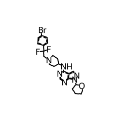 FC(F)(CN1CCC(Nc2ncnc3c2cnn3C2CCCCO2)CC1)c1ccc(Br)cc1